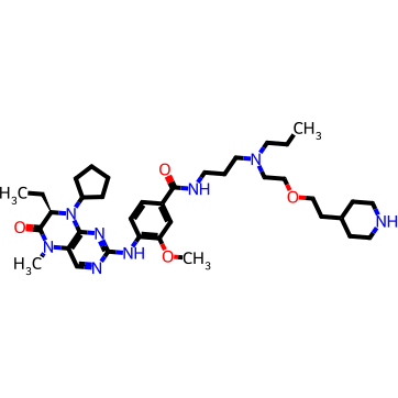 CCCN(CCCNC(=O)c1ccc(Nc2ncc3c(n2)N(C2CCCC2)[C@H](CC)C(=O)N3C)c(OC)c1)CCOCCC1CCNCC1